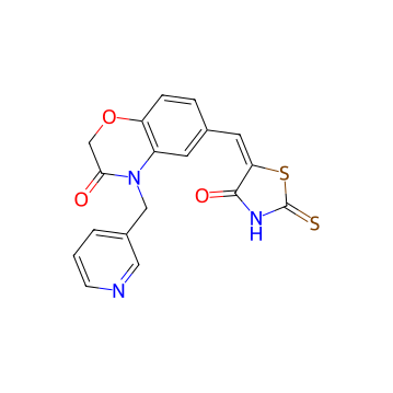 O=C1NC(=S)SC1=Cc1ccc2c(c1)N(Cc1cccnc1)C(=O)CO2